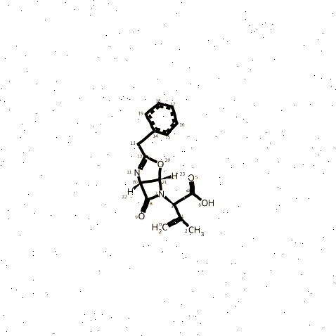 C=C(C)[C@H](C(=O)O)N1C(=O)[C@@H]2N=C(Cc3ccccc3)O[C@@H]21